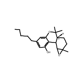 CCCCCc1cc(O)c2c(c1)OC(C)(C)[C@@H]1CCC3(C)OC3C21